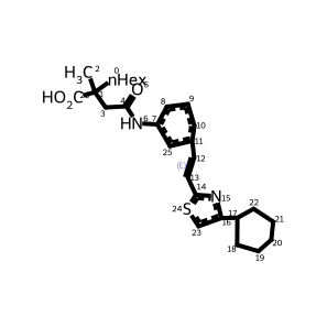 CCCCCCC(C)(CC(=O)Nc1cccc(/C=C/c2nc(C3CCCCC3)cs2)c1)C(=O)O